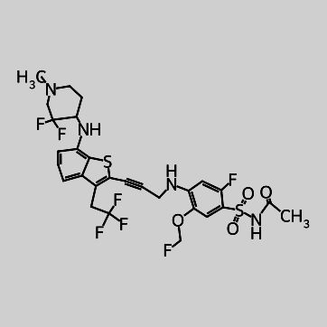 CC(=O)NS(=O)(=O)c1cc(OCF)c(NCC#Cc2sc3c(NC4CCN(C)CC4(F)F)cccc3c2CC(F)(F)F)cc1F